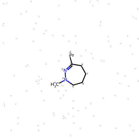 CC(C)C1=NN(C)CCCC1